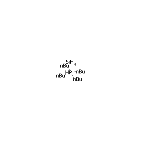 CCCC[PH](CCCC)(CCCC)CCCC.[SiH4]